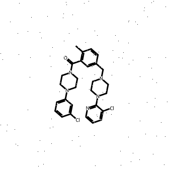 Cc1ccc(CN2CCN(c3ncccc3Cl)CC2)cc1C(=O)N1CCN(c2cccc(Cl)c2)CC1